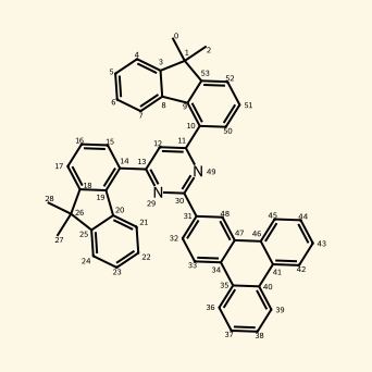 CC1(C)c2ccccc2-c2c(-c3cc(-c4cccc5c4-c4ccccc4C5(C)C)nc(-c4ccc5c6ccccc6c6ccccc6c5c4)n3)cccc21